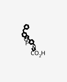 O=C(O)C1CN(Cc2ccc(-c3cc4cc(Cc5ccccc5)ccc4o3)c(F)c2)C1